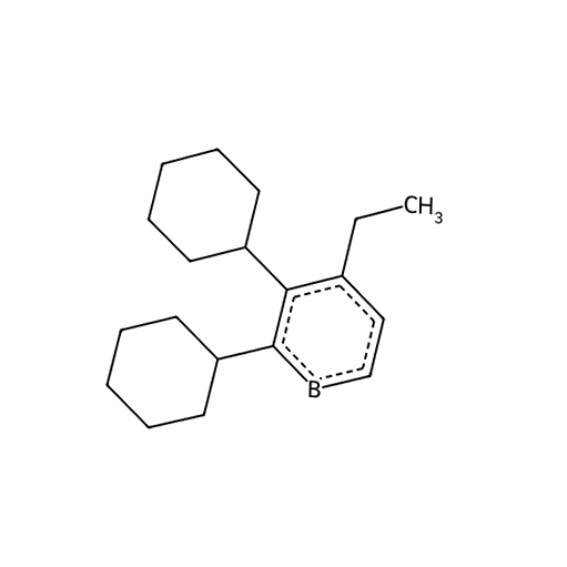 CCc1ccbc(C2CCCCC2)c1C1CCCCC1